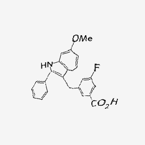 COc1ccc2c(Cc3cc(F)cc(C(=O)O)c3)c(-c3ccccc3)[nH]c2c1